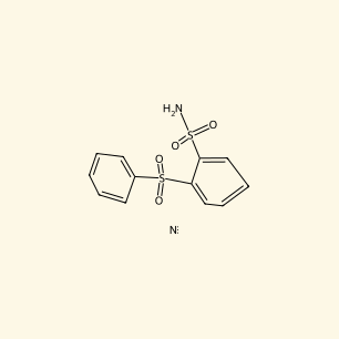 NS(=O)(=O)c1ccccc1S(=O)(=O)c1ccccc1.[N]